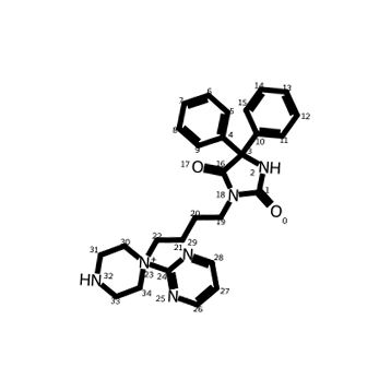 O=C1NC(c2ccccc2)(c2ccccc2)C(=O)N1CCCC[N+]1(c2ncccn2)CCNCC1